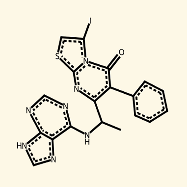 CC(Nc1ncnc2[nH]cnc12)c1nc2scc(I)n2c(=O)c1-c1ccccc1